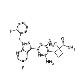 CC1(C(N)=O)CCC1c1c(N)nc(-c2nn(Cc3ccccc3F)c3ncc(F)cc23)nc1N